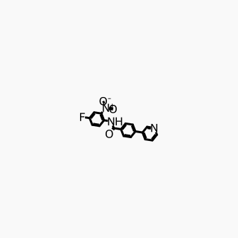 O=C(Nc1ccc(F)cc1[N+](=O)[O-])c1ccc(-c2cccnc2)cc1